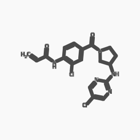 C=CC(=O)Nc1ccc(C(=O)N2CCC(Nc3ncc(Cl)cn3)C2)cc1Cl